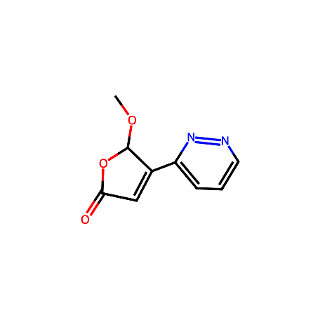 COC1OC(=O)C=C1c1cccnn1